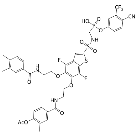 CC(=O)Oc1ccc(C(=O)NCCOc2c(OCCNC(=O)c3ccc(C)c(C)c3)c(F)c3cc(S(=O)(=O)NCP(=O)(O)Oc4ccc(C#N)c(C(F)(F)F)c4)sc3c2F)cc1C